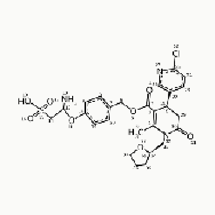 CC1=C(C(=O)OCc2ccc(OC(N)CS(=O)(=O)O)cc2)[C@@H](c2ccc(Cl)nc2)CC(=O)N1C[C@H]1CCCO1